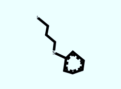 ICCCSc1ccccc1